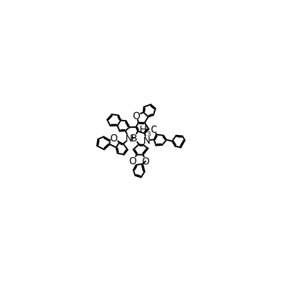 Cc1cc(-c2ccccc2)ccc1N1c2cc3c(cc2B2c4c1cc1c(oc5ccccc51)c4-c1cc4ccccc4cc1N2c1cccc2c1oc1ccccc12)Oc1ccccc1O3